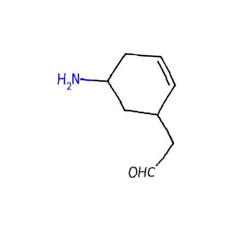 NC1CC=CC(CC=O)C1